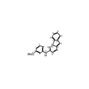 COc1cccc(Nc2ncc3cc4ccccc4n3n2)c1